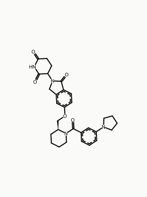 O=C1CCC(N2Cc3cc(OC[C@@H]4CCCCN4C(=O)c4cccc(N5CCCC5)c4)ccc3C2=O)C(=O)N1